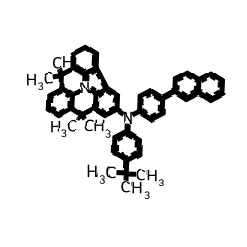 CC(C)(C)c1ccc(N(c2ccc(-c3ccc4ccccc4c3)cc2)c2cc3c4c(c2)c2c5n4-c4c(cccc4C3(C)C)C(C)(C)C=5CCC=2)cc1